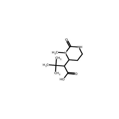 CN1C(=O)NCCC1C(C(=O)O)C(C)(C)C